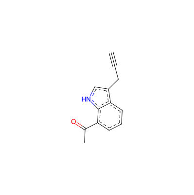 C#CCc1c[nH]c2c(C(C)=O)cccc12